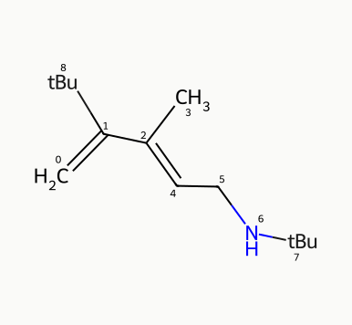 C=C(/C(C)=C/CNC(C)(C)C)C(C)(C)C